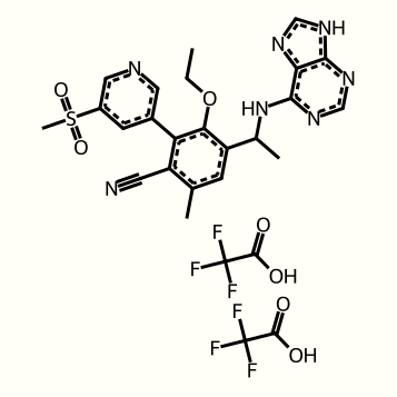 CCOc1c(C(C)Nc2ncnc3[nH]cnc23)cc(C)c(C#N)c1-c1cncc(S(C)(=O)=O)c1.O=C(O)C(F)(F)F.O=C(O)C(F)(F)F